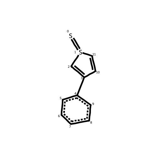 S=S1[C]=C(c2ccccc2)C=C1